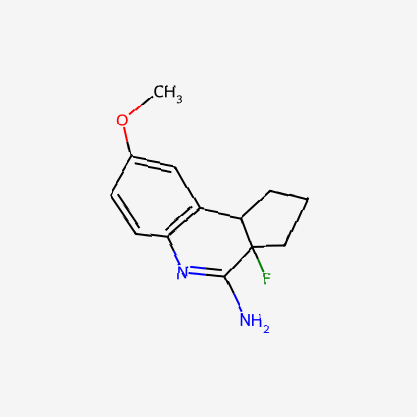 COc1ccc2c(c1)C1CCCC1(F)C(N)=N2